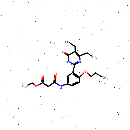 CCCOc1ccc(NC(=O)CC(=O)OCC)cc1-c1nc(CC)c(CC)c(=O)[nH]1